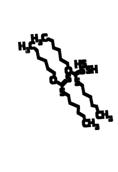 CCCCCCOC(=S)SCCCCCC.CCCCCCOC(=S)SCCCCCC.SS